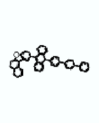 c1ccc(-c2ccc(-c3ccc(-c4c5ccccc5c(-c5ccc6oc7ccc8ccccc8c7c6c5)c5ccccc45)cc3)cc2)cc1